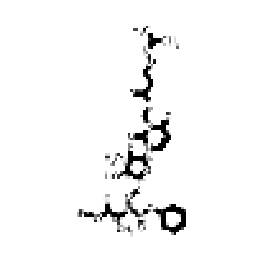 CC(C)=NOCCC(=O)OCn1c(=O)ccn([C@@H]2O[C@H](CON([C@@H](C)C(=O)OC(C)C)[PH](=O)Oc3ccccc3)[C@@H](O)[C@@]2(C)F)c1=O